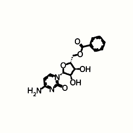 Nc1ccn([C@@H]2O[C@H](COC(=O)c3ccccc3)[C@@H](O)[C@H]2O)c(=O)n1